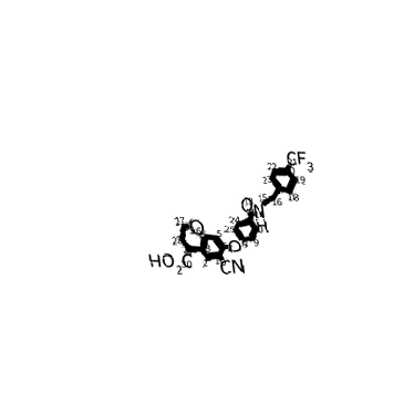 N#Cc1cc2c(cc1Oc1ccc(C(=O)NCCc3ccc(C(F)(F)F)cc3)cc1)OCCC2C(=O)O